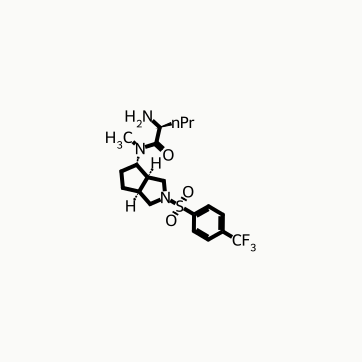 CCC[C@H](N)C(=O)N(C)[C@H]1CC[C@@H]2CN(S(=O)(=O)c3ccc(C(F)(F)F)cc3)C[C@@H]21